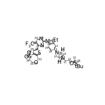 CCc1cc(N2C[C@H]3C[C@@H]2CN3CCO[Si](C)(C)C(C)(C)C)ccc1Nc1ncc(C(F)(F)F)c(-c2cc3c(s2)COCCS3(=O)=O)n1